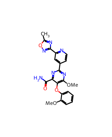 COc1ccccc1Oc1c(OC)nc(-c2ccnc(-c3noc(C)n3)c2)nc1C(N)=O